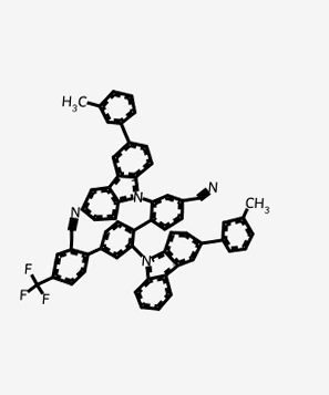 Cc1cccc(-c2ccc3c(c2)c2ccccc2n3-c2cc(C#N)ccc2-c2ccc(-c3ccc(C(F)(F)F)cc3C#N)cc2-n2c3ccccc3c3cc(-c4cccc(C)c4)ccc32)c1